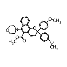 COC(=O)c1c2c(c3ccccc3c1N1CCOCC1)OC(c1ccc(OC)cc1)(c1ccc(OC)cc1)C=C2